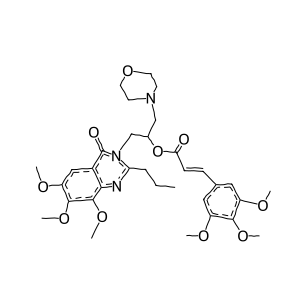 CCCc1nc2c(OC)c(OC)c(OC)cc2c(=O)n1CC(CN1CCOCC1)OC(=O)C=Cc1cc(OC)c(OC)c(OC)c1